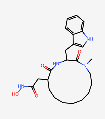 CN1CCCCCCCCC(CC(=O)NO)C(=O)NC(Cc2c[nH]c3ccccc23)C1=O